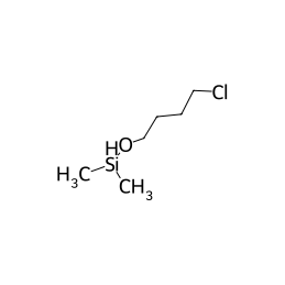 C[SiH](C)OCCCCCl